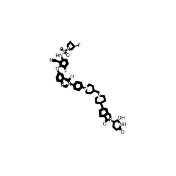 N#Cc1c(NS(=O)(=O)N2CC[C@@H](F)C2)ccc(F)c1Oc1ccc2ncn(-c3ccc(N4CCC(CN5CCC(c6ccc7c(c6)CN(C6CCC(=O)NC6O)C7=O)CC5)CC4)cc3)c(=O)c2c1